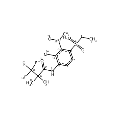 CCS(=O)(=O)c1ccc(NC(=O)C(C)(O)C(F)(F)F)c(Cl)c1[S+](C)[O-]